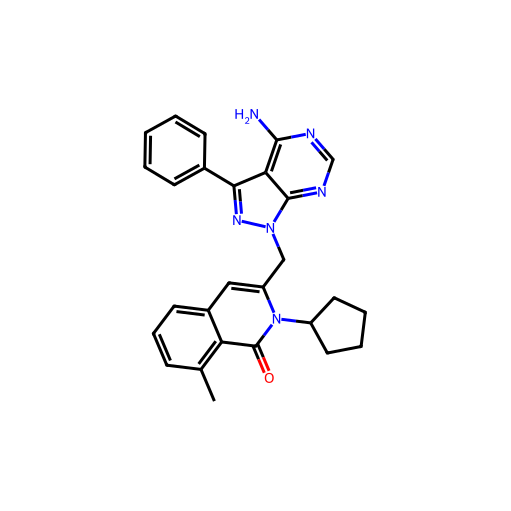 Cc1cccc2cc(Cn3nc(-c4ccccc4)c4c(N)ncnc43)n(C3CCCC3)c(=O)c12